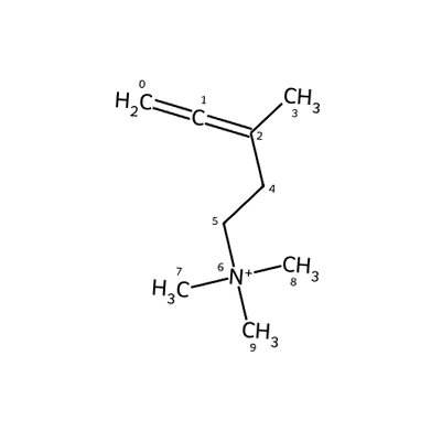 C=C=C(C)CC[N+](C)(C)C